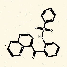 O=C(c1ccccc1NS(=O)(=O)c1ccccc1)c1nccc2cccnc12